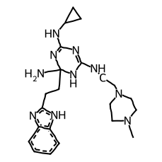 CN1CCN(CCNC2=NC(NC3CC3)=NC(N)(CCc3nc4ccccc4[nH]3)N2)CC1